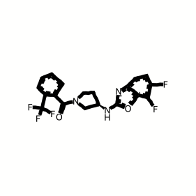 O=C(c1ccccc1C(F)(F)F)N1CC[C@@H](Nc2nc3ccc(F)c(F)c3o2)C1